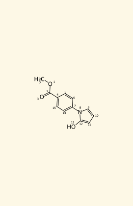 COC(=O)c1ccc(-n2cccc2O)cc1